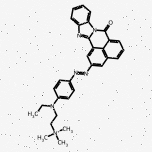 CCN(CC[N+](C)(C)C)c1ccc(N=Nc2cc3cccc4c(=O)n5c6ccccc6nc5c(c2)c34)cc1